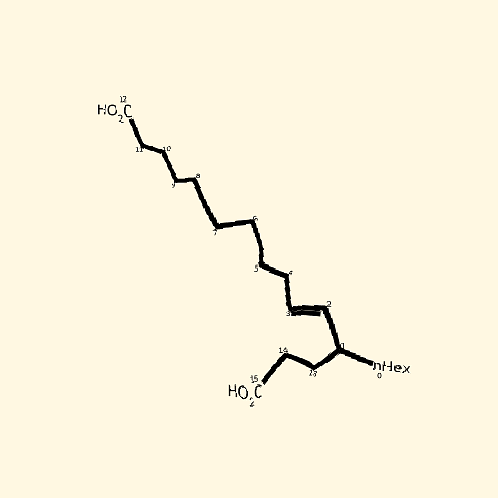 CCCCCCC(C=CCCCCCCCCC(=O)O)CCC(=O)O